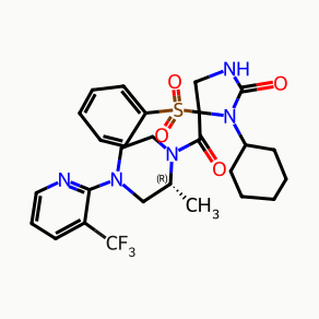 C[C@@H]1CN(c2ncccc2C(F)(F)F)CCN1C(=O)C1(S(=O)(=O)c2ccccc2)CNC(=O)N1C1CCCCC1